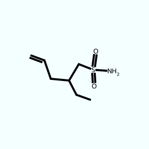 C=CCC(CC)CS(N)(=O)=O